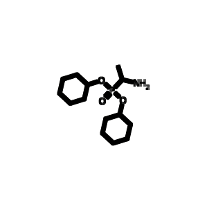 CC(N)P(=O)(OC1CCCCC1)OC1CCCCC1